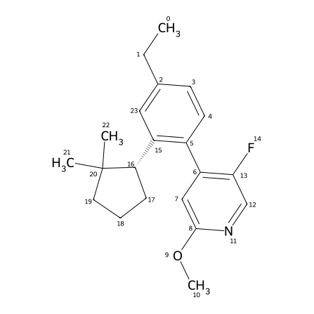 CCc1ccc(-c2cc(OC)ncc2F)c([C@@H]2CCCC2(C)C)c1